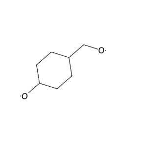 [O]CC1CCC([O])CC1